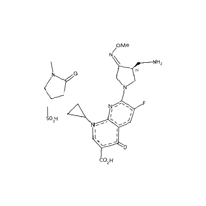 CN1CCCC1=O.CON=C1CN(c2nc3c(cc2F)c(=O)c(C(=O)O)cn3C2CC2)C[C@@H]1CN.CS(=O)(=O)O